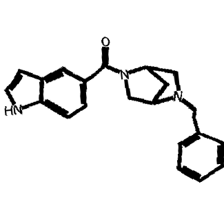 O=C(c1ccc2[nH]ccc2c1)N1CC2CC1CN2Cc1ccccc1